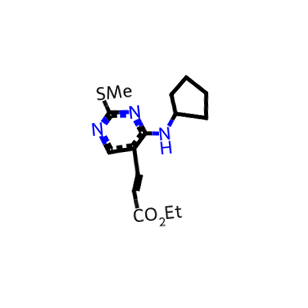 CCOC(=O)C=Cc1cnc(SC)nc1NC1CCCC1